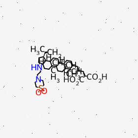 C=C(C)[C@@H]1CC[C@]2(NCCN3CCS(=O)(=O)CC3)CC[C@]3(C)[C@H](CC[C@@H]4[C@@]5(C)CC=C(CCCC(C(=O)O)C(=O)O)C(C)(C)[C@@H]5CC[C@]43C)[C@@H]12